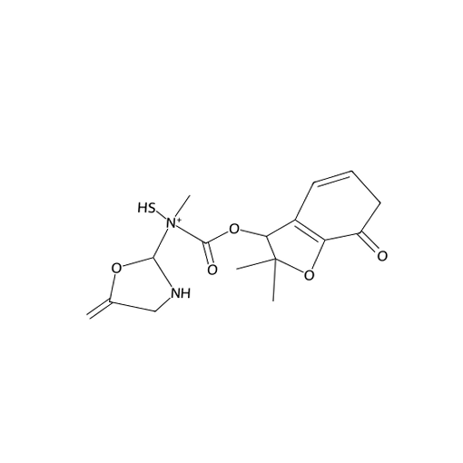 C=C1CNC([N+](C)(S)C(=O)OC2C3=C(OC2(C)C)C(=O)CC=C3)O1